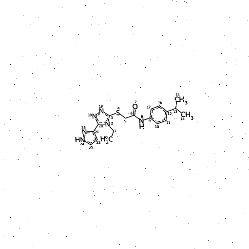 CCn1c(SCC(=O)Nc2ccc(C(C)C)cc2)nnc1-c1cc[nH]n1